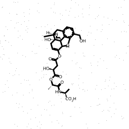 C[C@H](NC(=O)[C@H](C)OC(=O)[C@@H](O)CC(=O)OC1=CC[C@@]2(O)[C@H]3Cc4ccc(CO)c5c4[C@@]2(CCN3C)[C@H]1O5)C(=O)O